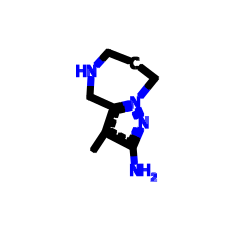 Cc1c(N)nn2c1CNCCC2